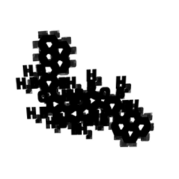 Bc1c(B)c(-c2c(B)c(B)c3oc4c(B)c(B)c(-c5ccc6ccc7cccc8ccc5c6c78)c(B)c4c3c2B)c(B)c(-c2c(B)c(B)c3oc4c(B)c(B)c(-c5ccc6ccc7cccc8ccc5c6c78)c(B)c4c3c2B)c1B